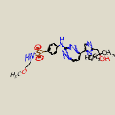 COCCNS(=O)(=O)c1ccc(Nc2nccc(-c3cnc(CC(C)(C)O)n3C)n2)cc1